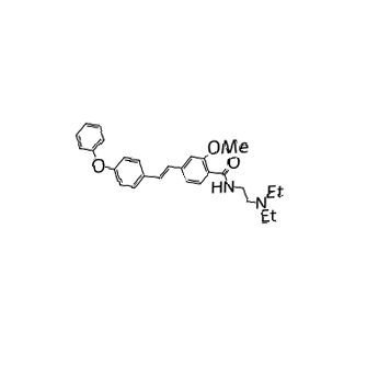 CCN(CC)CCNC(=O)c1ccc(/C=C/c2ccc(Oc3ccccc3)cc2)cc1OC